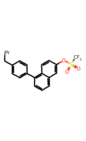 CC(C)Cc1ccc(-c2cccc3cc(OS(=O)(=O)C(F)(F)F)ccc23)cc1